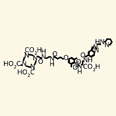 Cc1cc(OCCCC(=O)NCCNC(=O)CN2CCN(CC(=O)O)CCN(CC(=O)O)CCN(CC(=O)O)CC2)cc(C)c1S(=O)(=O)N[C@@H](CNC(=O)c1ccc2nn(CCNC3=NCCCC3)cc2c1)C(=O)O